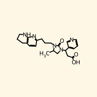 CC1CN(C(CC(=O)O)c2cccnc2)C(=O)N1CCCc1ccc2c(n1)NCCC2